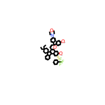 CCC1(CC)CCC2(CC1)c1ccccc1-c1c2c2c(c3cc(OC)c(Sc4ccccc4C(F)(F)F)cc13)OC(c1ccc(OC)cc1)(c1ccc(N3CCOCC3)cc1)C=C2